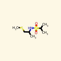 CSCC(C)NS(=O)(=O)C(C)C